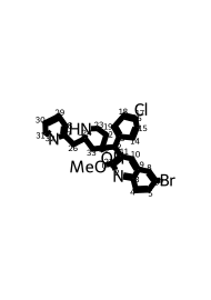 COc1nc2ccc(Br)cc2cc1C(c1ccc(Cl)cc1)C1(O)CCNC(Cc2ccccn2)C1